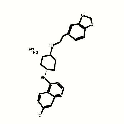 Cl.Cl.Clc1ccc2c(N[C@H]3CC[C@H](NCCc4ccc5c(c4)OCO5)CC3)ccnc2c1